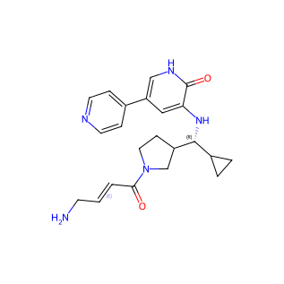 NC/C=C/C(=O)N1CCC([C@H](Nc2cc(-c3ccncc3)c[nH]c2=O)C2CC2)C1